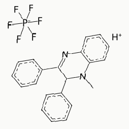 CN1c2ccccc2N=C(c2ccccc2)C1c1ccccc1.F[P-](F)(F)(F)(F)F.[H+]